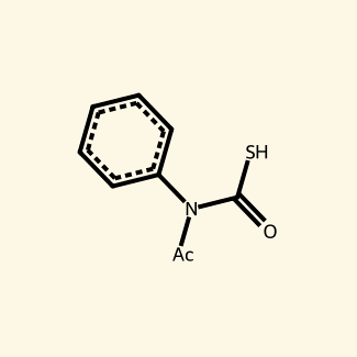 CC(=O)N(C(=O)S)c1ccccc1